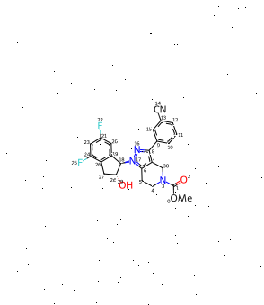 COC(=O)N1CCc2c(c(-c3cccc(C#N)c3)nn2[C@@H]2c3cc(F)cc(F)c3C[C@H]2O)C1